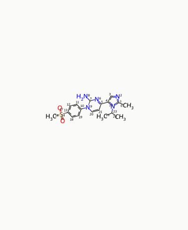 Cc1ncc(C2=NC(N)N(c3ccc(S(C)(=O)=O)cc3)C=C2)n1C(C)C